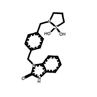 O=c1[nH]c2ccccc2n1Cc1ccc(CN2CCCS2(O)O)cc1